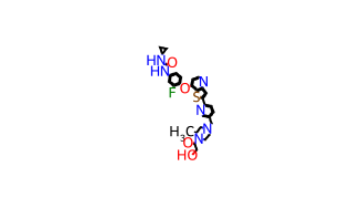 C[C@H]1CN(Cc2ccc(-c3cc4nccc(Oc5ccc(NC(=O)NC6CC6)cc5F)c4s3)nc2)CCN1C(=O)CO